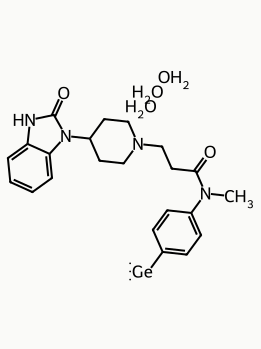 CN(C(=O)CCN1CCC(n2c(=O)[nH]c3ccccc32)CC1)c1cc[c]([Ge])cc1.O.O.O